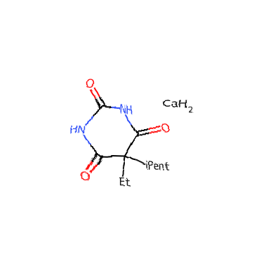 CCCC(C)C1(CC)C(=O)NC(=O)NC1=O.[CaH2]